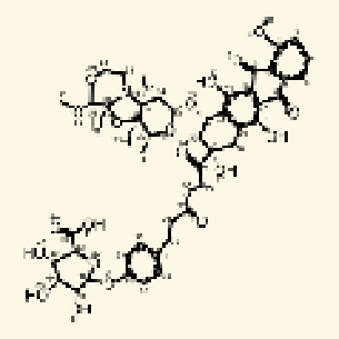 COc1cccc2c1C(=O)c1c(O)c3c(c(O)c1C2=O)C[C@@](O)(C(=O)COC(=O)CCc1ccc(O[C@@H]2O[C@H](C(=O)O)[C@@H](O)[C@H](O)[C@H]2O)cc1)C[C@@H]3O[C@H]1C[C@H]2[C@H](O[C@@H]3[C@@H](OC)OCCN32)[C@H](C)O1